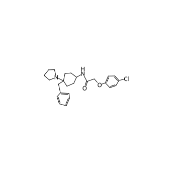 O=C(COc1ccc(Cl)cc1)NC1CCC(Cc2ccccc2)(N2CCCC2)CC1